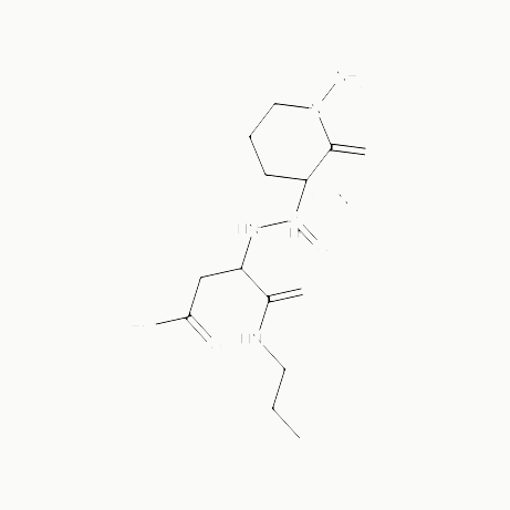 CCCNC(=O)C(CC(=O)O)N[PH](=O)[C@@]1(N)CCCN(N)C1=O